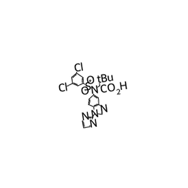 CC(C)(C)C(C(=O)O)N(c1ccc2c(c1)ncn2-c1ncccn1)S(=O)(=O)c1cc(Cl)cc(Cl)c1